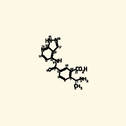 C[C@@H](N)c1ccc(C(=O)Nc2ccnc3[nH]ncc23)cc1C(=O)O